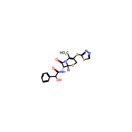 O=C(O)C1=C(Sc2nncs2)CS[C@@H]2[C@H](NC(=O)C(O)c3ccccc3)C(=O)N12